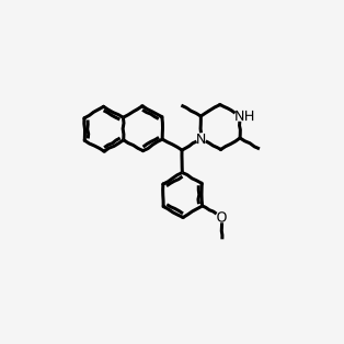 COc1cccc(C(c2ccc3ccccc3c2)N2CC(C)NCC2C)c1